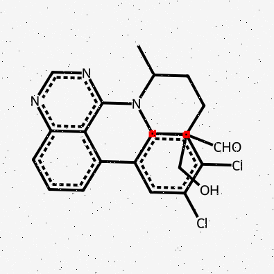 CC1CCC(C=O)(CO)CN1c1ncnc2cccc(-c3ccc(Cl)c(Cl)c3)c12